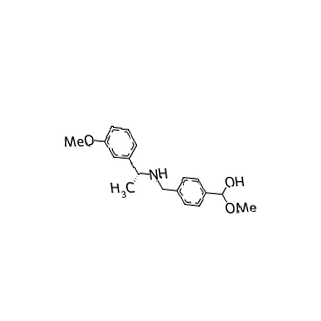 COc1cccc([C@@H](C)NCc2ccc(C(O)OC)cc2)c1